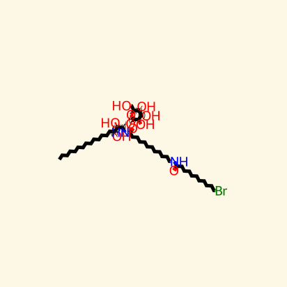 CCCCCCCCCCCCCC[C@@H](O)[C@@H](O)[C@H](CO[C@H]1OC(CO)[C@H](O)[C@H](O)C1O)NC(=O)CCCCCCCCCCCNC(=O)CCCCCCCCCCBr